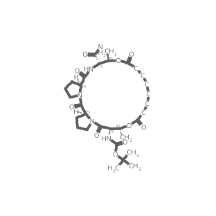 C[C@H]1OC(=O)CCCCCCC(=O)O[C@H](C)[C@H](NC(=O)OC(C)(C)C)C(=O)N2CCC[C@H]2C(=O)N2CCC[C@H]2C(=O)N[C@@H]1C(N)=O